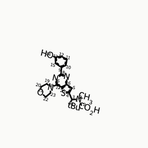 CN(C(=O)O)C(c1cc2nc(-c3cccc(O)c3)nc(N3CCOCC3)c2s1)C(C)(C)C